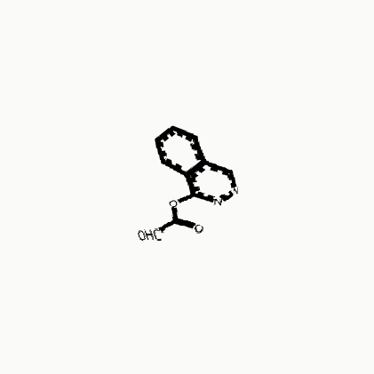 O=CC(=O)Oc1nncc2ccccc12